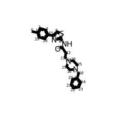 Cc1ccc(-c2csc(NC(=O)CCN3CCN(Cc4ccccc4)CC3)n2)cc1